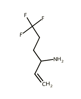 C=CC(N)CCC(F)(F)F